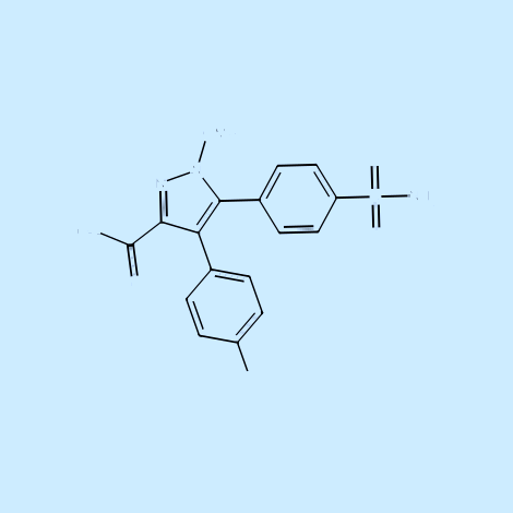 COn1nc(C(=O)C(C)(C)C)c(-c2ccc(F)cc2)c1-c1ccc(S(N)(=O)=O)cc1